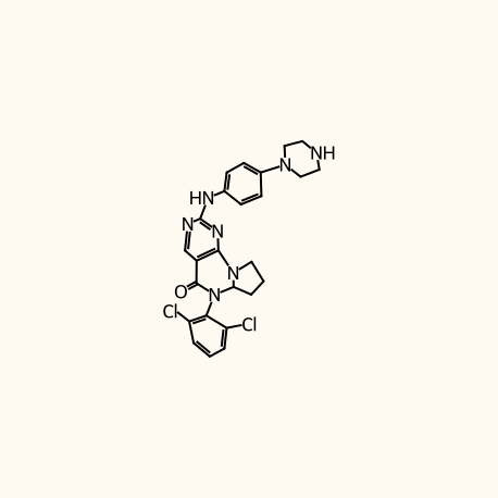 O=C1c2cnc(Nc3ccc(N4CCNCC4)cc3)nc2N2CCCC2N1c1c(Cl)cccc1Cl